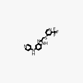 FC(F)(F)c1cc(SCc2nc3cc(Nc4ccncc4)ccc3[nH]2)ccn1